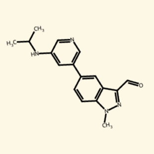 CC(C)Nc1cncc(-c2ccc3c(c2)c(C=O)nn3C)c1